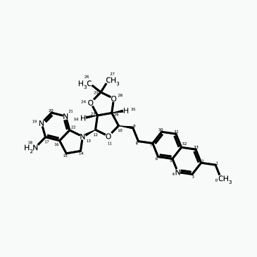 CCc1cnc2cc(CC[C@H]3O[C@@H](N4CCc5c(N)ncnc54)[C@@H]4OC(C)(C)O[C@@H]43)ccc2c1